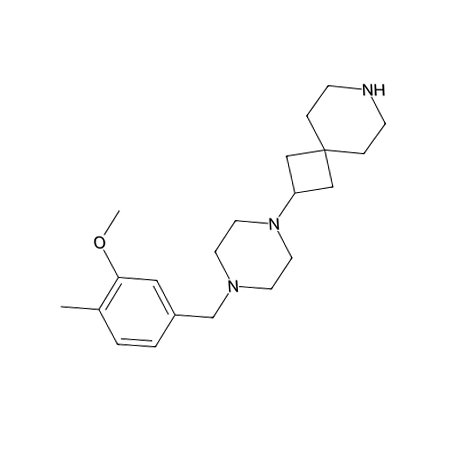 COc1cc(CN2CCN(C3CC4(CCNCC4)C3)CC2)ccc1C